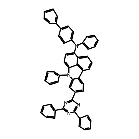 c1ccc(-c2ccc(N(c3ccccc3)c3ccc4c5c(cccc35)-c3ccc(-c5nc(-c6ccccc6)nc(-c6ccccc6)n5)cc3N4c3ccccc3)cc2)cc1